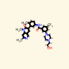 Cc1cc2c(cn1)cc(-c1cc(NC(=O)c3cc(N4CCN(CCO)CC4)cc(C(F)(F)F)c3)ccc1C)c(=O)n2C